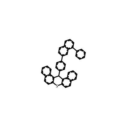 c1ccc(-c2cccc3ccc(-c4ccc(C5c6c(ccc7ccccc67)Sc6ccc7ccccc7c65)cc4)cc23)cc1